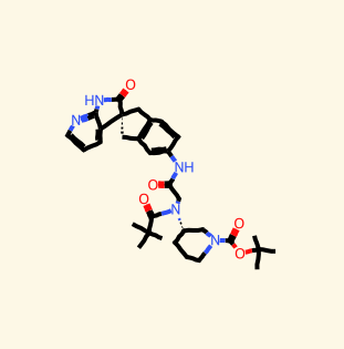 CC(C)(C)OC(=O)N1CCC[C@H](N(CC(=O)Nc2ccc3c(c2)C[C@@]2(C3)C(=O)Nc3ncccc32)C(=O)C(C)(C)C)C1